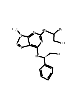 CC(C)C(CO)Nc1nc(N[C@@H](CO)c2ccccc2)c2nnn(C)c2n1